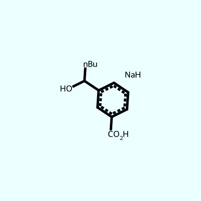 CCCCC(O)c1cccc(C(=O)O)c1.[NaH]